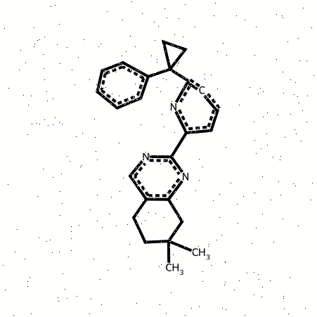 CC1(C)CCc2cnc(-c3cccc(C4(c5ccccc5)CC4)n3)nc2C1